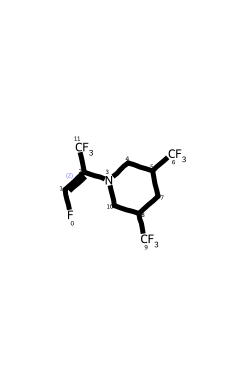 F/C=C(\N1CC(C(F)(F)F)CC(C(F)(F)F)C1)C(F)(F)F